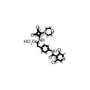 O=C(Nc1ccc(C[C@H](Nc2c(N3CCOCC3)c(=O)c2=O)C(=O)O)cc1)c1c(Cl)cncc1Cl